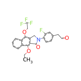 CCOc1c2c(c(OCC(F)(F)F)c3ccccc13)CN(c1ccc(CC=O)cc1F)C2=O